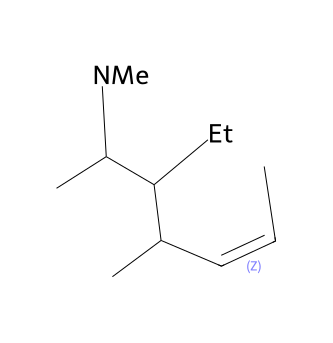 C/C=C\C(C)C(CC)C(C)NC